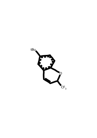 CC(C)(C)c1ccc2c(c1)C=CC(C(F)(F)F)O2